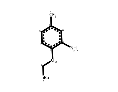 CCC(C)COc1ccc(C(F)(F)F)cc1N